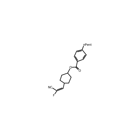 CCCCCc1ccc(C(=O)OC2CCC(/C=C(/F)C#N)CC2)cc1